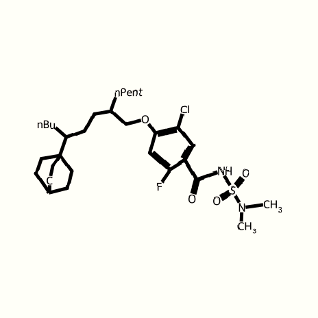 CCCCCC(CCC(CCCC)C12CCC(CC1)CC2)COc1cc(F)c(C(=O)NS(=O)(=O)N(C)C)cc1Cl